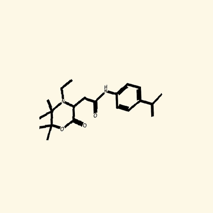 CCN1C(CC(=O)Nc2ccc(C(C)C)cc2)C(=O)OC(C)(C)C1(C)C